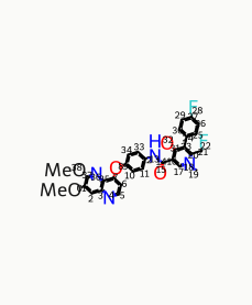 COc1cc2nccc(Oc3ccc(NC(=O)c4cn(C)c(CF)c(-c5ccc(F)cc5)c4=O)cc3)c2nc1OC